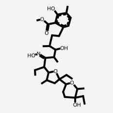 CCC(C(=NO)C(C)C(O)C(C)CCc1ccc(C)c(O)c1C(=O)OC)C1OC(CC)(C2CCC(O)(CC)C(C)O2)CC1C